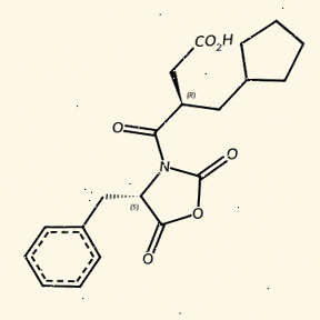 O=C(O)C[C@@H](CC1CCCC1)C(=O)N1C(=O)OC(=O)[C@@H]1Cc1ccccc1